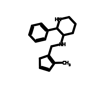 CC1=C(CNC2CCCNC2c2ccccc2)CC=C1